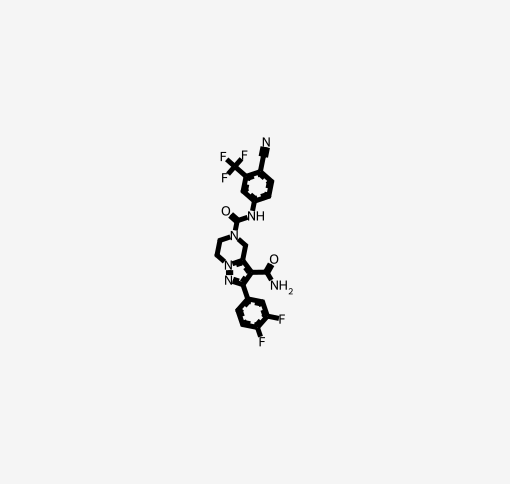 N#Cc1ccc(NC(=O)N2CCn3nc(-c4ccc(F)c(F)c4)c(C(N)=O)c3C2)cc1C(F)(F)F